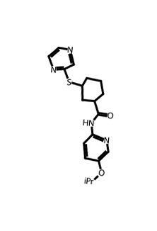 CC(C)Oc1ccc(NC(=O)C2CCCC(Sc3cnccn3)C2)nc1